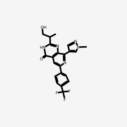 CC(CO)c1nc2c(-c3cnn(C)c3)nc(-c3ccc(C(F)(F)F)cc3)cc2c(=O)[nH]1